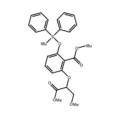 COCC(Oc1cccc(O[Si](c2ccccc2)(c2ccccc2)C(C)(C)C)c1C(=O)OC(C)(C)C)C(=O)OC